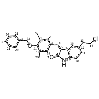 Cc1cc(C=C2C(=O)Nc3ccc(CCCl)cc32)cc(C)c1OCc1ccccc1